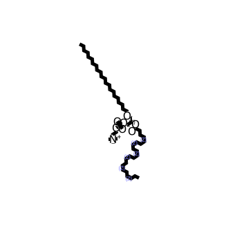 CC/C=C\C/C=C\C/C=C\C/C=C\C/C=C\C/C=C\CCC(=O)O[C@H](COCCCCCCCCCCCCCCCCCCCCCC)COP(=O)([O-])OCC[N+](C)(C)C